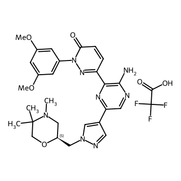 COc1cc(OC)cc(-n2nc(-c3nc(-c4cnn(C[C@@H]5CN(C)C(C)(C)CO5)c4)cnc3N)ccc2=O)c1.O=C(O)C(F)(F)F